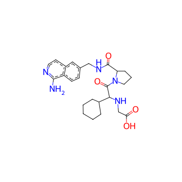 Nc1nccc2cc(CNC(=O)C3CCCN3C(=O)C(NCC(=O)O)C3CCCCC3)ccc12